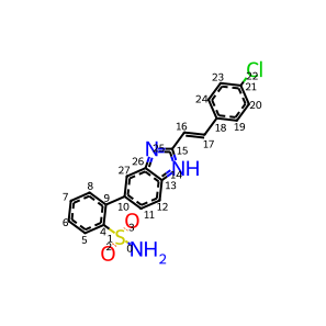 NS(=O)(=O)c1ccccc1-c1ccc2[nH]c(C=Cc3ccc(Cl)cc3)nc2c1